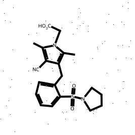 Cc1c(C#N)c(Cc2ccccc2S(=O)(=O)N2CCCC2)c(C)n1CC(=O)O